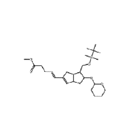 COC(=O)CCC=CC1=CC2CC(OC3CCCCO3)C(CO[Si](C)(C)C(C)(C)C)C2C1